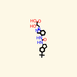 CC(C)(C)c1ccc2c(c1)CC[C@H]2NC(=O)Nc1cccc2c1cnn2CC(O)C(=O)O